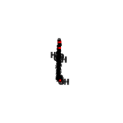 CCCCCCCCCCNC(=O)C(=O)NCCCCCCCCCCCc1ccc(O)cc1